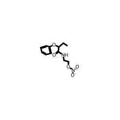 CCC(Oc1ccccc1)C(=O)NCCO[N+](=O)[O-]